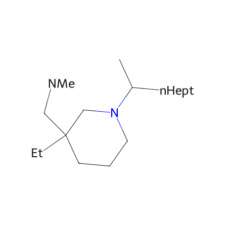 CCCCCCCC(C)N1CCCC(CC)(CNC)C1